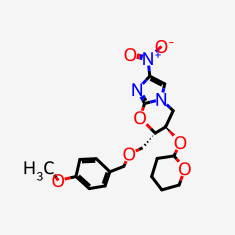 COc1ccc(COC[C@@H]2Oc3nc([N+](=O)[O-])cn3C[C@H]2OC2CCCCO2)cc1